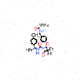 CCC[C@@H](NC(=O)N1C(=O)C(CC)(CC)[C@@H]1Oc1ccc(CNC(=O)NC)cc1)c1ccc(C)cc1